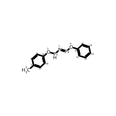 Cc1ccc(OPN=POc2ccccc2)cc1